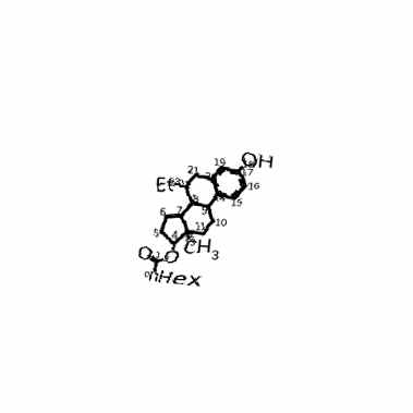 CCCCCCC(=O)O[C@H]1CCC2C3C(CC[C@@]21C)c1ccc(O)cc1C[C@@H]3CC